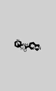 O=C(N[C@H]1CN2CCC1CC2)c1ccc2cncn2c1